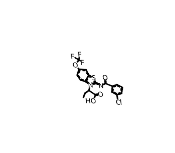 CCC(C(=O)O)n1c(=NC(=O)c2cccc(Cl)c2)sc2cc(OC(F)(F)F)ccc21